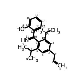 C=CCc1cc(C(C)C)c(C(=N)c2ccccc2O)c(C(C)C)c1